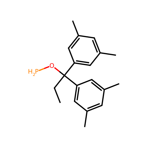 CCC(OP)(c1cc(C)cc(C)c1)c1cc(C)cc(C)c1